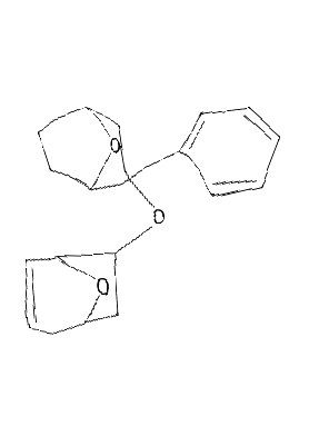 C1=CC2OC1CC2OC1(c2ccccc2)CC2CCC1O2